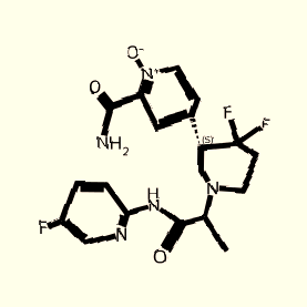 CC(C(=O)Nc1ccc(F)cn1)N1CCC(F)(F)[C@@H](c2cc[n+]([O-])c(C(N)=O)c2)C1